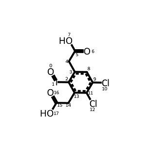 O=Ic1c(CC(=O)O)cc(Cl)c(Cl)c1CC(=O)O